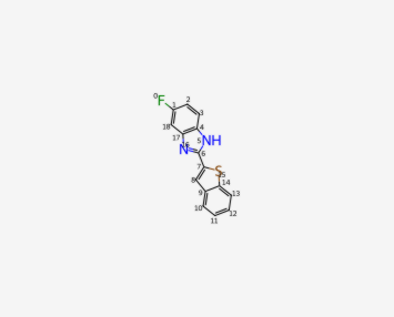 Fc1ccc2[nH]c(-c3cc4ccccc4s3)nc2c1